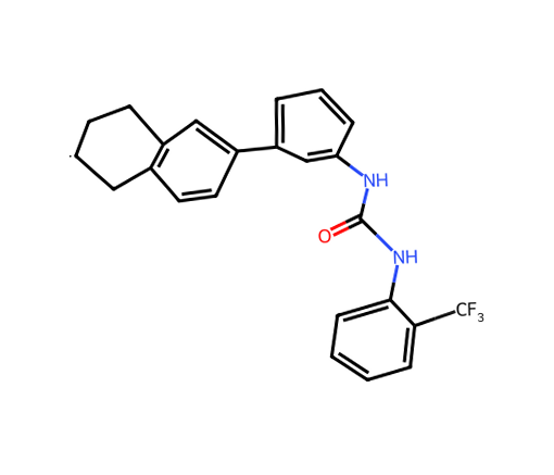 O=C(Nc1cccc(-c2ccc3c(c2)CC[CH]C3)c1)Nc1ccccc1C(F)(F)F